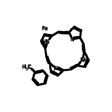 C1=Cc2cc3ccc(cc4nc(cc5ccc(cc1n2)[nH]5)C=C4)[nH]3.Cc1ccccc1.[Fe]